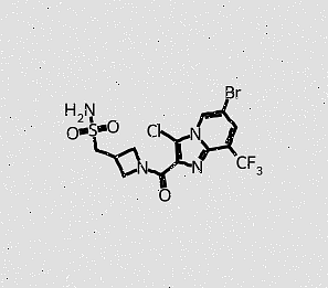 NS(=O)(=O)CC1CN(C(=O)c2nc3c(C(F)(F)F)cc(Br)cn3c2Cl)C1